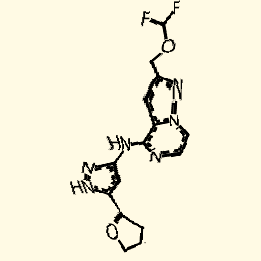 FC(F)OCc1cc2c(Nc3cc([C@H]4C[CH]CO4)[nH]n3)nccn2n1